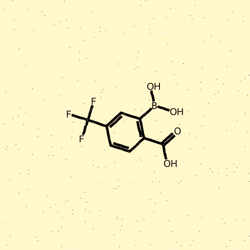 O=C(O)c1ccc(C(F)(F)F)cc1B(O)O